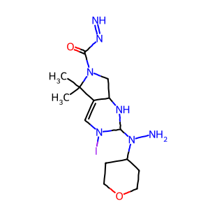 CC1(C)C2=CN(I)C(N(N)C3CCOCC3)NC2CN1C(=O)N=N